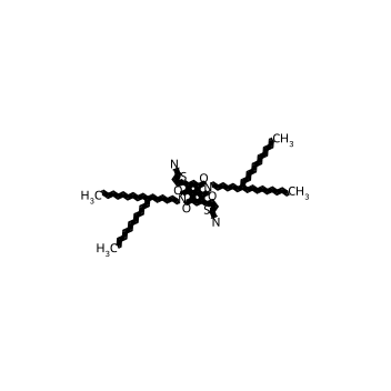 CCCCCCCCCCCCC(CCCCCCCCCC)CCCCCCN1C(=O)c2cc(-c3ccc(C#N)s3)c3c4c(cc(-c5ccc(C#N)s5)c(c24)C1=O)C(=O)N(CCCCCCC(CCCCCCCCCC)CCCCCCCCCCCC)C3=O